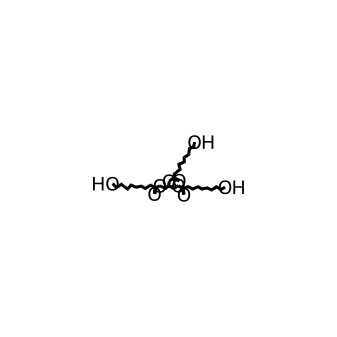 O=C(CCCCCCCCO)OCC(COC(=O)CCCCCCCCO)OC(=O)CCCCCCCCO